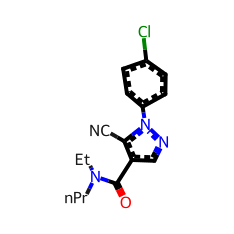 CCCN(CC)C(=O)c1cnn(-c2ccc(Cl)cc2)c1C#N